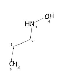 CCCNO